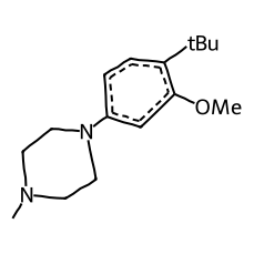 COc1cc(N2CCN(C)CC2)ccc1C(C)(C)C